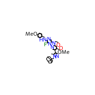 COC(=O)c1c(-c2cnn(CC34CC5CC(CC(C5)C3)C4)c2C)cnc2c1OCCN2c1cnc(NCc2ccc(OC)cc2)c(F)n1